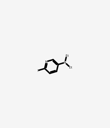 CCN(CC)c1ccc(I)nc1